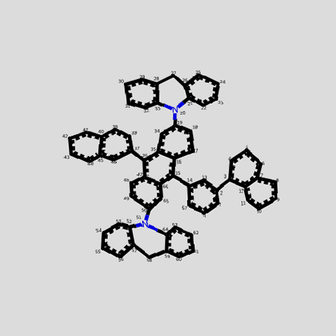 c1cc(-c2cccc3ccccc23)cc(-c2c3ccc(N4c5ccccc5Cc5ccccc54)cc3c(-c3ccc4ccccc4c3)c3ccc(N4c5ccccc5Cc5ccccc54)cc23)c1